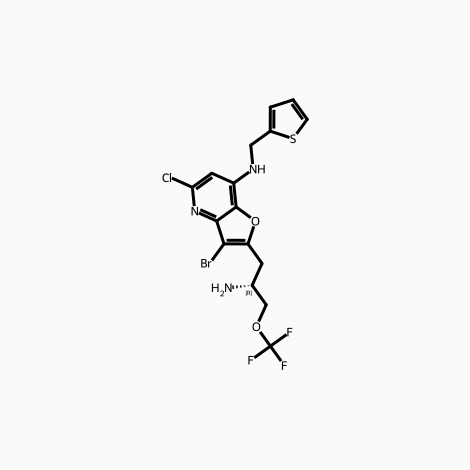 N[C@@H](COC(F)(F)F)Cc1oc2c(NCc3cccs3)cc(Cl)nc2c1Br